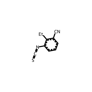 CCc1c(C#N)cccc1N=C=S